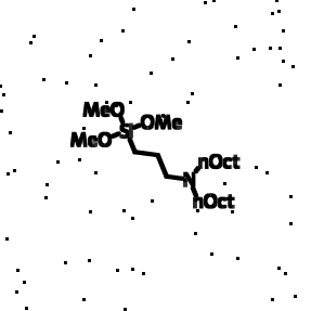 CCCCCCCCN(CCCCCCCC)CCC[Si](OC)(OC)OC